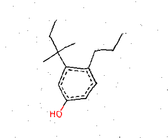 [CH2]CCc1ccc(O)cc1C(C)(C)CC